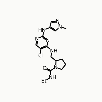 CCNC(=O)N1CCCC1CNc1nc(Nc2cnn(C)c2)ncc1Cl